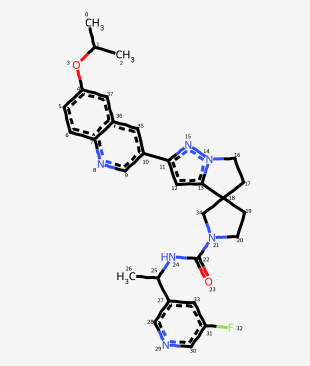 CC(C)Oc1ccc2ncc(-c3cc4n(n3)CCC43CCN(C(=O)NC(C)c4cncc(F)c4)C3)cc2c1